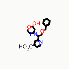 N=C(COCc1ccccc1)c1cc(C(=O)O)ccn1.OC1CCCCO1